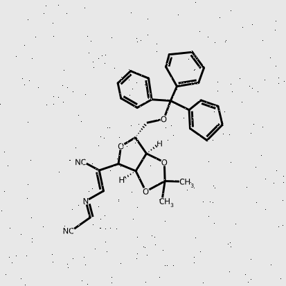 CC1(C)O[C@@H]2[C@@H](COC(c3ccccc3)(c3ccccc3)c3ccccc3)OC(C(C#N)=CN=CC#N)[C@@H]2O1